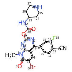 Cn1c(=O)c(Br)cc2c(-c3ccc(C#N)c(F)c3)nc(OC(=O)NC3CCNCC3)nc21